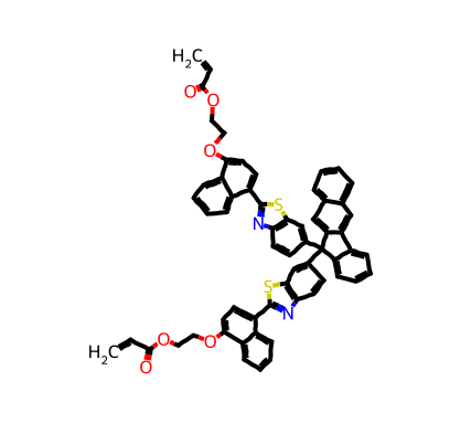 C=CC(=O)OCCOc1ccc(-c2nc3ccc(C4(c5ccc6nc(-c7ccc(OCCOC(=O)C=C)c8ccccc78)sc6c5)c5ccccc5-c5cc6ccccc6cc54)cc3s2)c2ccccc12